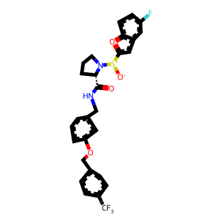 O=C(NCc1cccc(OCc2ccc(C(F)(F)F)cc2)c1)[C@@H]1CCCN1[S+]([O-])c1cc2cc(F)ccc2o1